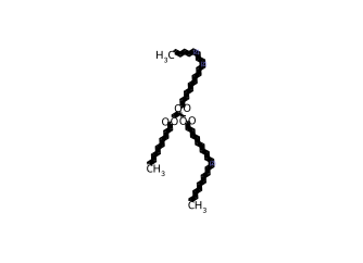 CCCCC/C=C\C/C=C\CCCCCCCCCC(=O)O[C@@H](COC(=O)CCCCCCCCC/C=C\CCCCCCCCCC)COC(=O)CCCCCCCCCCC